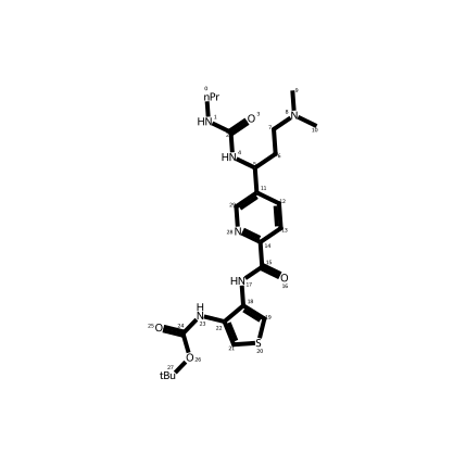 CCCNC(=O)NC(CCN(C)C)c1ccc(C(=O)Nc2cscc2NC(=O)OC(C)(C)C)nc1